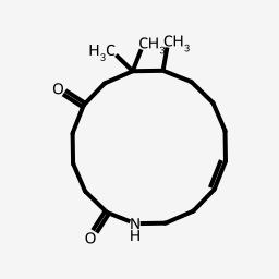 CC1CCCC=CCCNC(=O)CCCC(=O)CC1(C)C